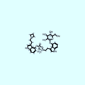 CN(CCc1c[nH]c2cccc(O[C@@H]3OC(CO)[C@@H](O)C(O)C3O)c12)OP(=O)(O)Oc1cccc2[nH]cc(CCN3CCC3)c12